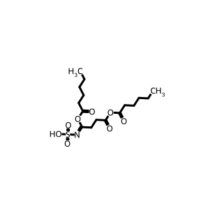 CCCCCC(=O)OC(=O)CC/C(=N/S(=O)(=O)O)OC(=O)CCCCC